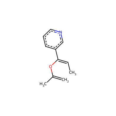 C=C(C)O/C(=C\C)c1cccnc1